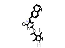 Cc1n[nH]c(C)c1C(C)NC1=NC(=O)/C(=C/c2ccc3ncccc3c2)S1